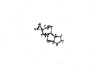 CC(C)C1(CN2CC3CCCC3C2)CC1